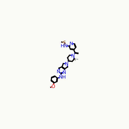 C=C(c1ccnc(NSC)c1)N1CC[C@H](N2Cc3cnc(Nc4cccc(OC)c4)nc3C2)C[C@H]1C